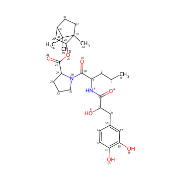 CCCC(NC(=O)C(O)Cc1ccc(O)c(O)c1)C(=O)N1CCCC1C(=O)OC1CC2CCC1(C)C2(C)C